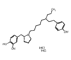 CCCN(CCCCCN1CCCC1Cc1ccc(O)c(O)c1)CCc1ccc(O)cc1.Cl.Cl